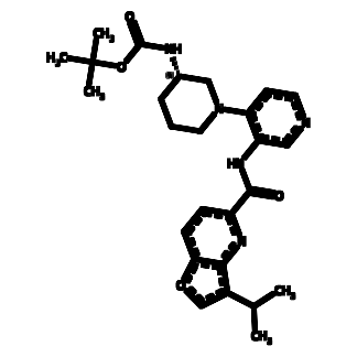 CC(C)c1coc2ccc(C(=O)Nc3cnccc3N3CCC[C@H](NC(=O)OC(C)(C)C)C3)nc12